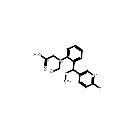 COOC(c1ccc(Cl)nc1)c1ccccc1N(CO)CC(=O)OC